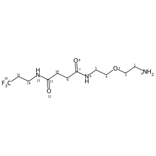 NCCOCCNC(=O)CCC(=O)NCCC(F)(F)F